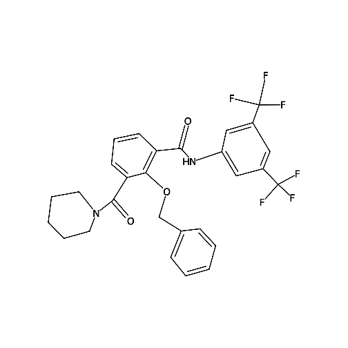 O=C(Nc1cc(C(F)(F)F)cc(C(F)(F)F)c1)c1cccc(C(=O)N2CCCCC2)c1OCc1ccccc1